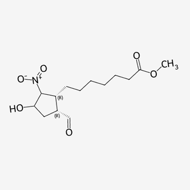 COC(=O)CCCCCC[C@H]1C([N+](=O)[O-])C(O)C[C@H]1C=O